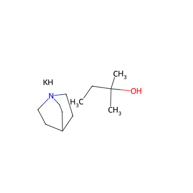 C1CN2CCC1CC2.CCC(C)(C)O.[KH]